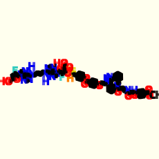 COC(=O)c1ccc(OCC(=O)NCCC(=O)N2Cc3ccccc3-c3nnn(CCOc4ccc(C(=O)Oc5ccc(CS[PH](=O)O[C@H]6[C@@H](F)[C@H](n7cnc8c(NC/C=C/CNc9ncnc%10c9ncn%10[C@@H]9O[C@H](CO)C[C@H]9F)ncnc87)O[C@@H]6CO)cc5)cc4)c3-c3ccccc32)cc1